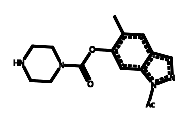 CC(=O)n1ncc2cc(C)c(OC(=O)N3CCNCC3)cc21